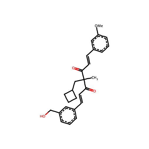 COc1cccc(/C=C/C(=O)C(C)(CC2CCC2)C(=O)/C=C/c2cccc(CO)c2)c1